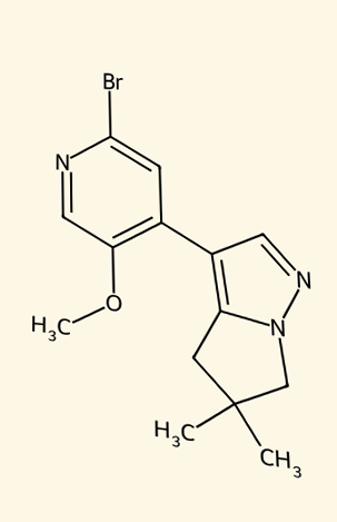 COc1cnc(Br)cc1-c1cnn2c1CC(C)(C)C2